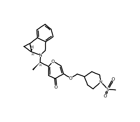 C[C@H](c1cc(=O)c(OCC2CCN(S(C)(=O)=O)CC2)co1)N1Cc2ccccc2C2C[C@H]21